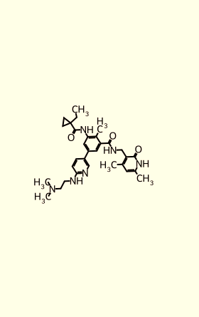 CCC1(C(=O)Nc2cc(-c3ccc(NCCN(C)C)nc3)cc(C(=O)NCc3c(C)cc(C)[nH]c3=O)c2C)CC1